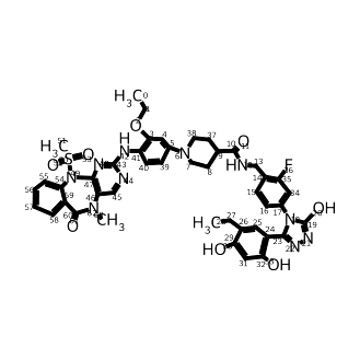 CCOc1cc(N2CCC(C(=O)NCc3ccc(-n4c(O)nnc4-c4cc(CC)c(O)cc4O)cc3F)CC2)ccc1Nc1ncc2c(n1)N(S(C)(=O)=O)c1ccccc1C(=O)N2C